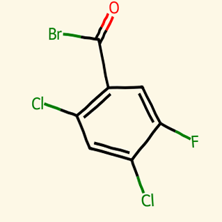 O=C(Br)c1cc(F)c(Cl)cc1Cl